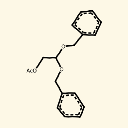 CC(=O)OCC(OCc1ccccc1)OCc1ccccc1